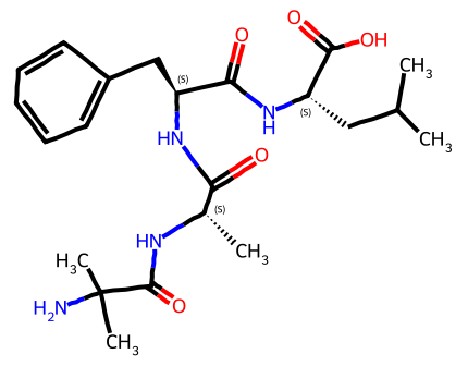 CC(C)C[C@H](NC(=O)[C@H](Cc1ccccc1)NC(=O)[C@H](C)NC(=O)C(C)(C)N)C(=O)O